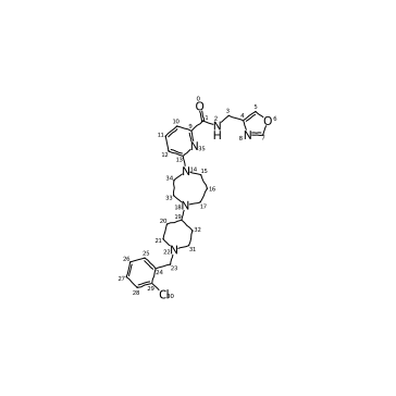 O=C(NCc1cocn1)c1cccc(N2CCCN(C3CCN(Cc4ccccc4Cl)CC3)CC2)n1